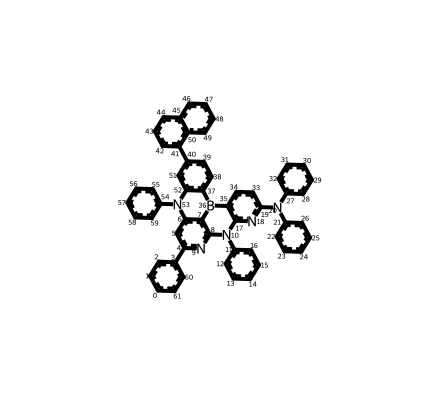 c1ccc(-c2cc3c4c(n2)N(c2ccccc2)c2nc(N(c5ccccc5)c5ccccc5)ccc2B4c2ccc(-c4cccc5ccccc45)cc2N3c2ccccc2)cc1